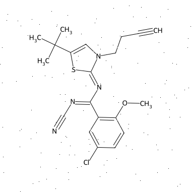 C#CCCn1cc(C(C)(C)C)s/c1=N\C(=N\C#N)c1cc(Cl)ccc1OC